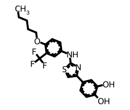 CCCCCOc1ccc(Nc2nc(-c3ccc(O)c(O)c3)cs2)cc1C(F)(F)F